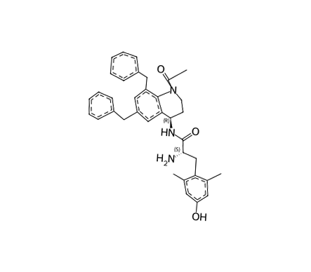 CC(=O)N1CC[C@@H](NC(=O)[C@@H](N)Cc2c(C)cc(O)cc2C)c2cc(Cc3ccccc3)cc(Cc3ccccc3)c21